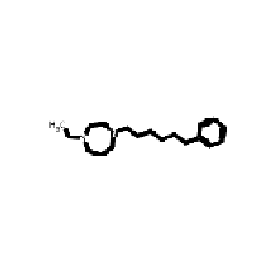 CCN1CCCN(CCCCCCc2ccccc2)CC1